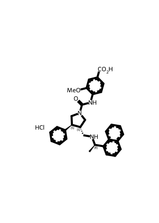 COc1cc(C(=O)O)ccc1NC(=O)N1C[C@H](CN[C@H](C)c2cccc3ccccc23)[C@@H](c2ccccc2)C1.Cl